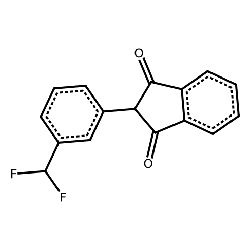 O=C1c2ccccc2C(=O)C1c1cccc(C(F)F)c1